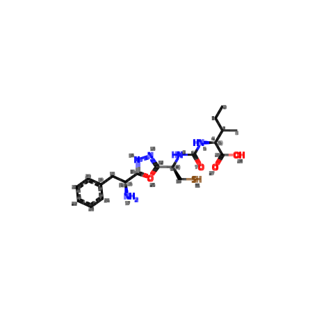 CCC(C)[C@H](NC(=O)N[C@@H](CS)c1nnc([C@@H](N)Cc2ccccc2)o1)C(=O)O